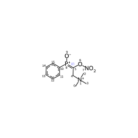 C[N+](C)(C)C/C(O[N+](=O)[O-])=[P+](/[O-])c1ccccc1